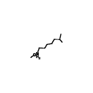 CO[SiH2]CCCCCC(C)C